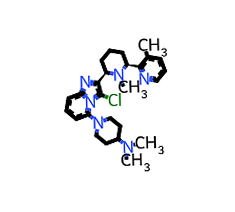 Cc1cccnc1[C@@H]1CCC[C@H](c2nc3cccc(N4CCC(N(C)C)CC4)n3c2Cl)N1C